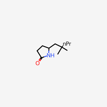 CCCC(C)(C)CC1CCC(=O)N1